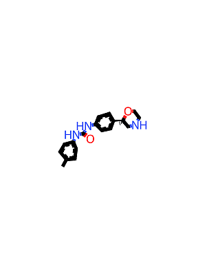 Cc1ccc(NC(=O)Nc2ccc([C@@H]3CNCCO3)cc2)cc1